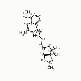 COc1cccc2c1nc(N)n1nc(CCN3Cc4sc(C)nc4C(C)(C)C3)nc21